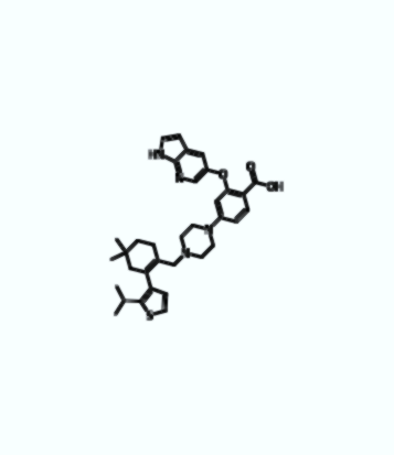 CC(C)c1sccc1C1=C(CN2CCN(c3ccc(C(=O)O)c(Oc4cnc5[nH]ccc5c4)c3)CC2)CCC(C)(C)C1